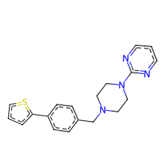 c1cnc(N2CCN(Cc3ccc(-c4cccs4)cc3)CC2)nc1